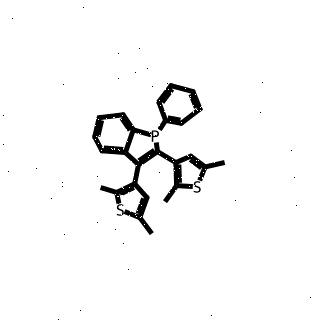 Cc1cc(-c2c(-c3cc(C)sc3C)p(-c3ccccc3)c3ccccc23)c(C)s1